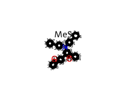 CSC1C=CCCC1c1ccc(N(c2ccc(-c3ccccc3)cc2)c2cc(-c3ccc4c(c3)oc3ccccc34)c3oc4ccccc4c3c2)cc1